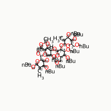 CCCCOCC1O[C@@H](O[C@H]2C(OCCCC)[C@@H](OCCCC)C(COCCCC)O[C@H]2OC2[C@@H]3OC(C)OCC3O[C@@H](O[C@@H]3C(COCCCC)O[C@@H](OCCCC)C(C)[C@H]3OCCCC)[C@@H]2OCCCC)[C@@H](C)C(OCCCC)[C@@H]1OCCCC